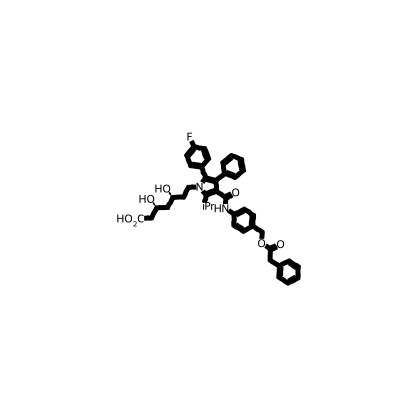 CC(C)c1c(C(=O)Nc2ccc(COC(=O)Cc3ccccc3)cc2)c(-c2ccccc2)c(-c2ccc(F)cc2)n1CC[C@@H](O)C[C@@H](O)CC(=O)O